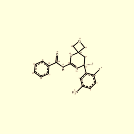 C[C@@]1(c2cc(N)ccc2F)CC2(COC2)OC(NC(=O)c2ccccc2)=N1